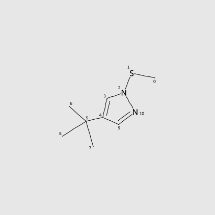 CSn1cc(C(C)(C)C)cn1